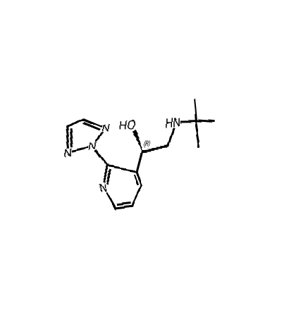 CC(C)(C)NC[C@H](O)c1cccnc1-n1nccn1